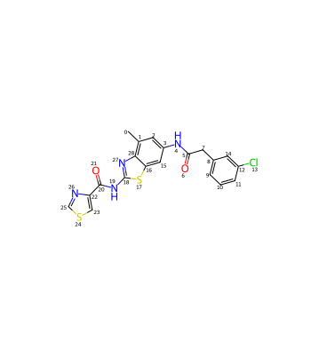 Cc1cc(NC(=O)Cc2cccc(Cl)c2)cc2sc(NC(=O)c3cscn3)nc12